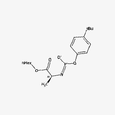 CCCCCCOC(=O)[C@H](C)N=[P+]([O-])Oc1ccc(C(C)(C)C)cc1